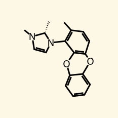 Cc1ccc2c(c1N1C=CN(C)[C@@H]1C)Oc1ccccc1O2